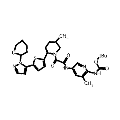 Cc1cc(NC(=O)C(=O)N2CC(C)CCC2c2ccc(-c3ccnn3C3CCCCO3)s2)cnc1NC(=O)OC(C)(C)C